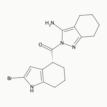 Nc1c2c(nn1C(=O)[C@@H]1CCCc3[nH]c(Br)cc31)CCCC2